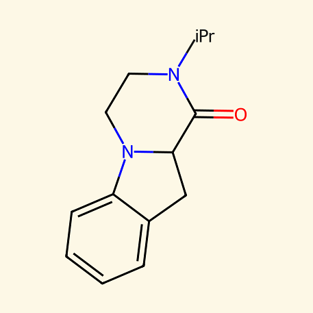 CC(C)N1CCN2c3ccccc3CC2C1=O